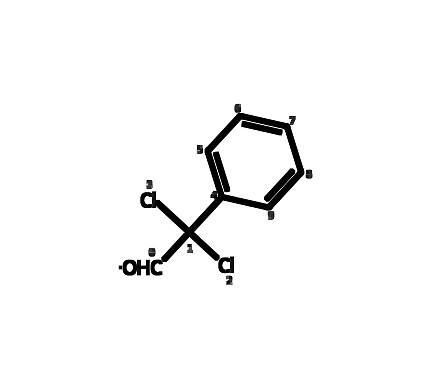 O=[C]C(Cl)(Cl)c1ccccc1